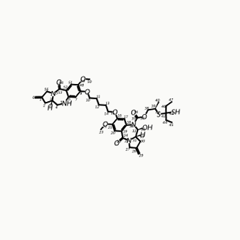 C=C1C[C@H]2CNc3cc(OCCCCCOc4cc5c(cc4OC)C(=O)N4CC(=C)C[C@H]4[C@H](O)N5C(=O)OC[C@@H](C)SC(S)(CC)CC)c(OC)cc3C(=O)N2C1